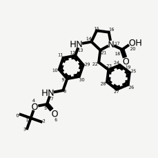 CC(C)(C)OC(=O)NCc1ccc(NC2CCN(C(=O)O)C2Cc2ccccc2)cc1